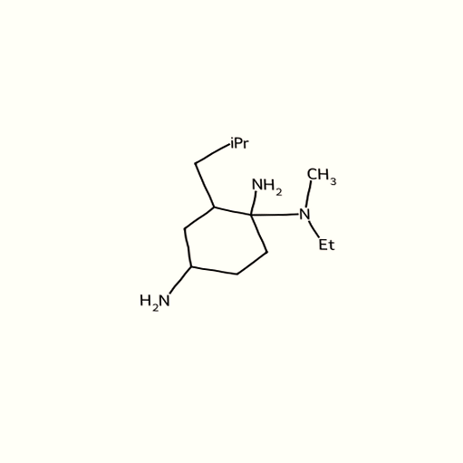 CCN(C)C1(N)CCC(N)CC1CC(C)C